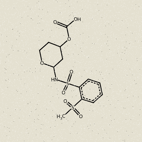 CS(=O)(=O)c1ccccc1S(=O)(=O)NC1CC(OC(=O)O)CCO1